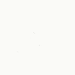 COc1ccc2c(c1)cc(C(O)c1cncc3ccccc13)n2S(=O)(=O)c1ccccc1